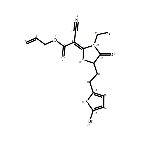 C=CCOC(=O)/C(C#N)=C1\SC(CCc2ccc(Br)s2)C(=O)N1CC